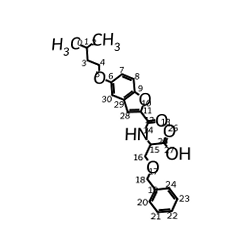 CC(C)CCOc1ccc2oc(C(=O)NC(COCc3ccccc3)C(=O)O)cc2c1